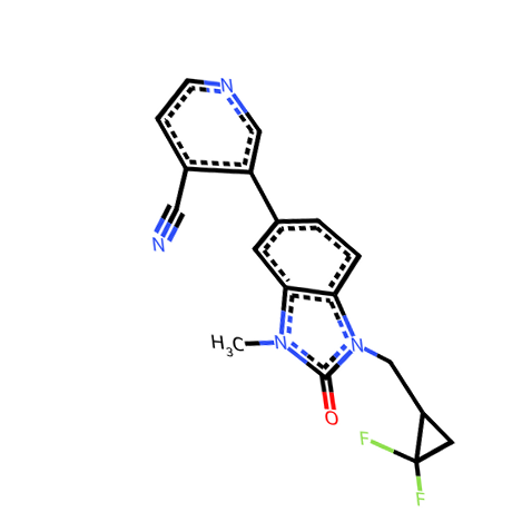 Cn1c(=O)n(CC2CC2(F)F)c2ccc(-c3cnccc3C#N)cc21